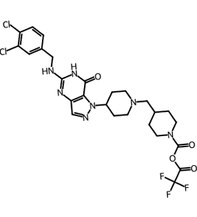 O=C(OC(=O)C(F)(F)F)N1CCC(CN2CCC(n3ncc4nc(NCc5ccc(Cl)c(Cl)c5)[nH]c(=O)c43)CC2)CC1